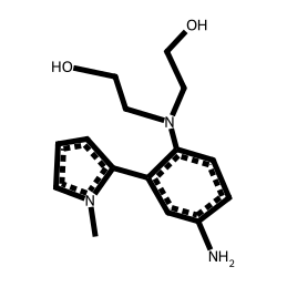 Cn1cccc1-c1cc(N)ccc1N(CCO)CCO